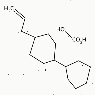 C=CCC1CCC(C2CCCCC2)CC1.O=C(O)O